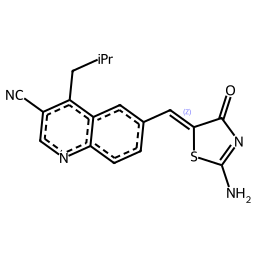 CC(C)Cc1c(C#N)cnc2ccc(/C=C3\SC(N)=NC3=O)cc12